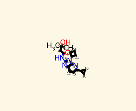 CC(C)(O)CC(=O)Nc1nc2ccc(C3CC3)nc2n1C1CCC1